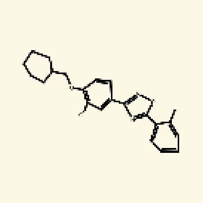 Cc1ccccc1-c1nc(-c2ccc(OCC3CCCCC3)c(Cl)c2)no1